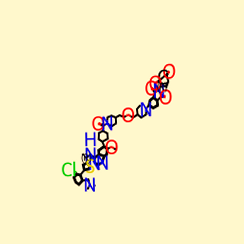 COc1cc2nc(C)nc(N[C@H](C)c3cc(-c4c(Cl)cccc4CN(C)C)cs3)c2cc1C1CCC(C(=O)N2CCC(CCOCC3CCN(c4ccc5c(c4)C(=O)N([C@@H]4CCC(=O)CC4=O)C5=O)CC3)CC2)CC1